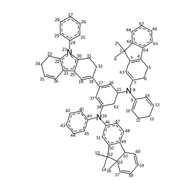 CC1(C)C2=C(CCC(N(C3=CCCC=C3)C3C=C(C4=Cc5c6c(n(-c7ccccc7)c5CC4)CCC=C6)C=C(N(c4ccccc4)c4ccc5c(c4)C(C)(C)C4(C)C=CC=CC54)C3)=C2)c2ccccc21